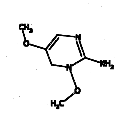 COC1=CN=C(N)N(OC)C1